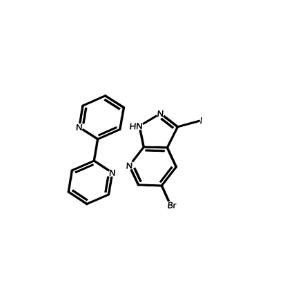 Brc1cnc2[nH]nc(I)c2c1.c1ccc(-c2ccccn2)nc1